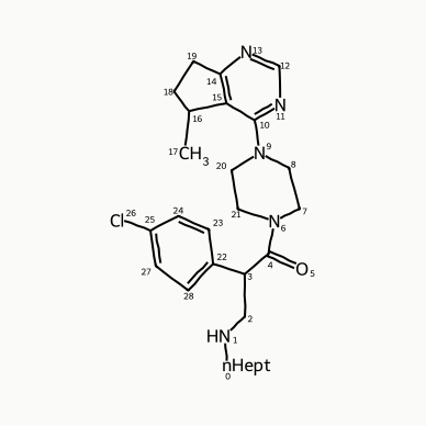 CCCCCCCNCC(C(=O)N1CCN(c2ncnc3c2C(C)CC3)CC1)c1ccc(Cl)cc1